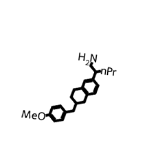 CCCC(CN)c1ccc2c(c1)CCC(Cc1ccc(OC)cc1)C2